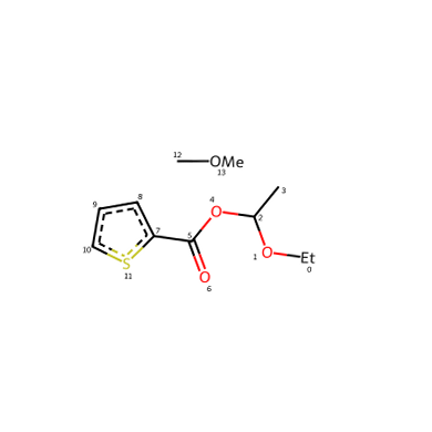 CCOC(C)OC(=O)c1cccs1.COC